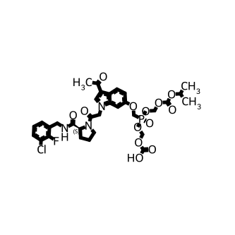 CC(=O)c1cn(CC(=O)N2CCC[C@H]2C(=O)NCc2cccc(Cl)c2F)c2cc(OCP(=O)(OCOC(=O)O)OCOC(=O)OC(C)C)ccc12